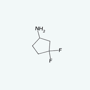 NC1CCC(F)(F)C1